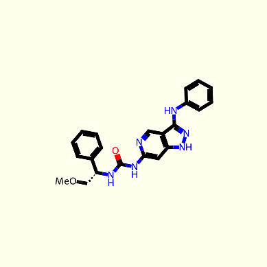 COC[C@@H](NC(=O)Nc1cc2[nH]nc(Nc3ccccc3)c2cn1)c1ccccc1